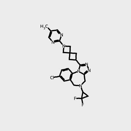 Cc1cnc(N2CC3(CC(c4nnc5n4-c4ccc(Cl)cc4CN(C4CC4(F)F)C5)C3)C2)nc1